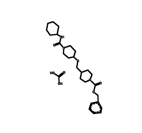 O=C(NC1CCCCC1)N1CCC(OCC2CCN(C(=O)OCc3ccccc3)CC2)CC1.O=C(O)O